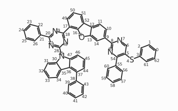 c1ccc(Sc2cnc(-c3ccc4c(c3)oc3c(-c5nc(-c6ccccc6)nc(-n6c7ccccc7c7c(-c8ccccc8)cccc76)n5)cccc34)nc2-c2ccccc2)cc1